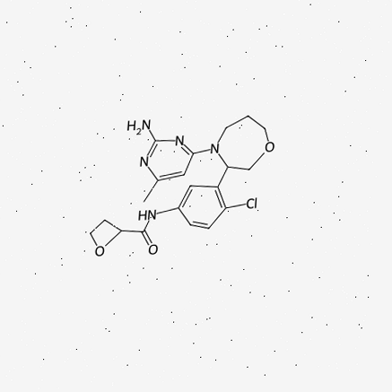 Cc1cc(N2CCCOCC2c2cc(NC(=O)C3CCO3)ccc2Cl)nc(N)n1